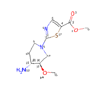 COC(=O)c1cnc(N2CC[C@@H](N)[C@H](OC)C2)s1